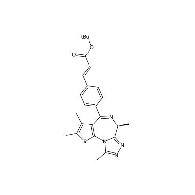 Cc1sc2c(c1C)C(c1ccc(/C=C/C(=O)OC(C)(C)C)cc1)=N[C@@H](C)c1nnc(C)n1-2